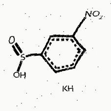 O=[N+]([O-])c1cccc(S(=O)O)c1.[KH]